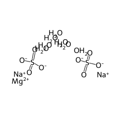 O.O.O.O.O.O.O.O=S(=O)([O-])[O-].O=S(=O)([O-])[O-].[Mg+2].[Na+].[Na+]